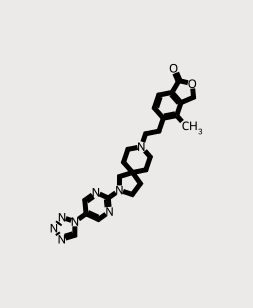 Cc1c(CCN2CCC3(CC2)CCN(c2ncc(-n4cnnn4)cn2)C3)ccc2c1COC2=O